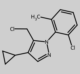 Cc1cccc(Cl)c1-n1ncc(C2CC2)c1CCl